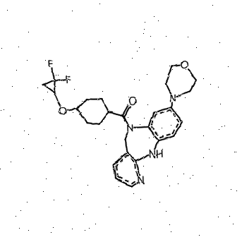 O=C(C1CCC(OC2CC2(F)F)CC1)N1Cc2cccnc2Nc2ccc(N3CCOCC3)cc21